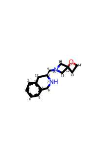 c1ccc2c(c1)CN[C@H](CN1CC3(CCO3)C1)C2